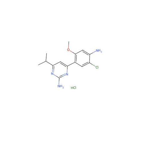 COc1cc(N)c(Cl)cc1-c1cc(C(C)C)nc(N)n1.Cl